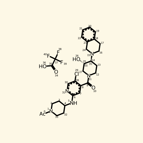 CC(=O)N1CCC(Nc2cc(C(=O)N3CC[C@H](N4CCc5ccccc5C4)[C@@H](O)C3)c(Cl)cn2)CC1.O=C(O)C(F)(F)F